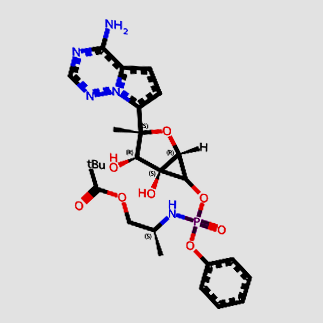 C[C@@H](COC(=O)C(C)(C)C)NP(=O)(Oc1ccccc1)OC1[C@H]2O[C@@](C)(c3ccc4c(N)ncnn34)[C@H](O)[C@@]12O